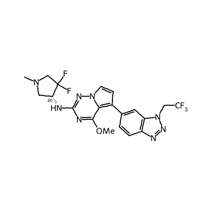 COc1nc(N[C@@H]2CN(C)CC2(F)F)nn2ccc(-c3ccc4nnn(CC(F)(F)F)c4c3)c12